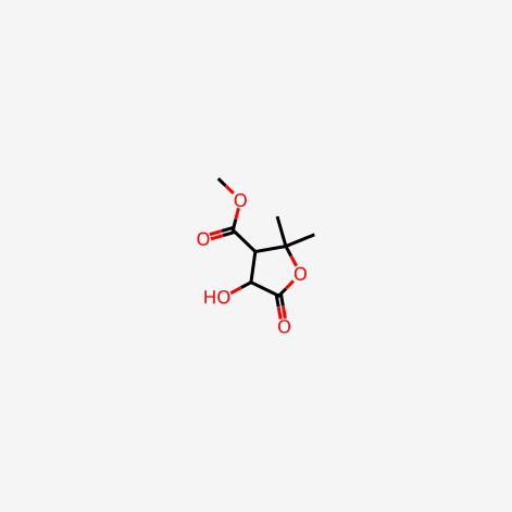 COC(=O)C1C(O)C(=O)OC1(C)C